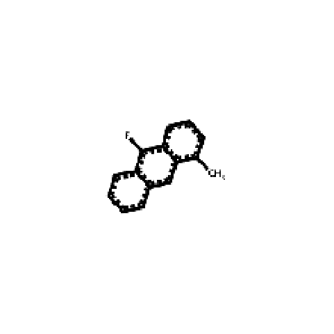 Cc1cccc2c(F)c3ccccc3cc12